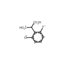 CCOC(=O)C(C(=O)O)c1c(F)cccc1Cl